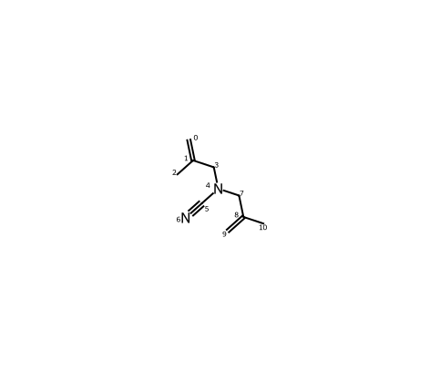 C=C(C)CN(C#N)CC(=C)C